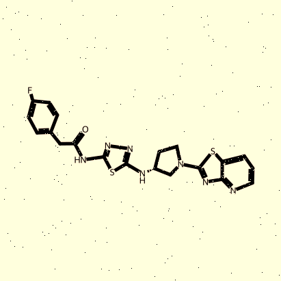 O=C(Cc1ccc(F)cc1)Nc1nnc(N[C@@H]2CCN(c3nc4ncccc4s3)C2)s1